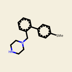 CSc1ccc(-c2ccccc2CN2CCNCC2)cc1